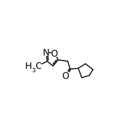 Cc1cc(CC(=O)C2CCCC2)on1